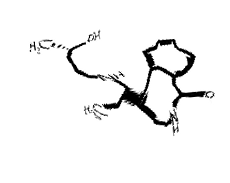 CC(NC[C@H](C)O)c1c[nH]c(=O)c2ccccc12